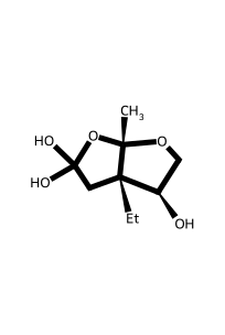 CC[C@@]12CC(O)(O)O[C@]1(C)OC[C@H]2O